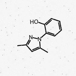 Cc1cc(C)n(-c2ccccc2O)n1